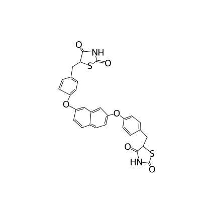 O=C1NC(=O)C(Cc2ccc(Oc3ccc4ccc(Oc5ccc(CC6SC(=O)NC6=O)cc5)cc4c3)cc2)S1